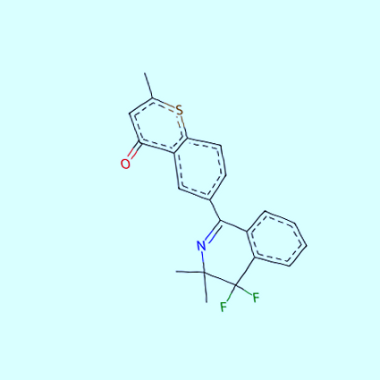 Cc1cc(=O)c2cc(C3=NC(C)(C)C(F)(F)c4ccccc43)ccc2s1